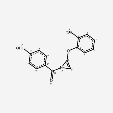 CC(C)(C)c1ccccc1OC1=CN1C(=O)c1ccc(C=O)cc1